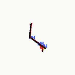 C#CC(=C)CCCCCCCCCCCCCCCCC(=C)NCCCCCCCCCCCCCNC(=C)CCCC(=O)NC(CCC=C)CSCCCC